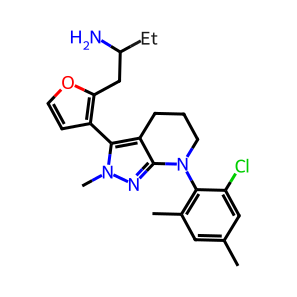 CCC(N)Cc1occc1-c1c2c(nn1C)N(c1c(C)cc(C)cc1Cl)CCC2